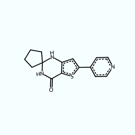 O=C1NC2(CCCC2)Nc2cc(-c3ccncc3)sc21